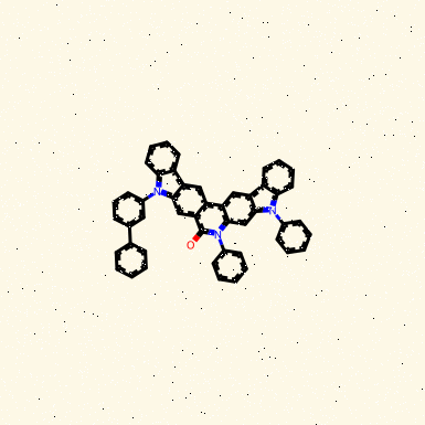 O=c1c2cc3c(cc2c2cc4c5ccccc5n(-c5ccccc5)c4cc2n1-c1ccccc1)c1ccccc1n3-c1cccc(-c2ccccc2)c1